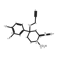 C#CCOC1(c2ccc(F)c(F)c2)CCN(C(=O)O)C(=C=O)C1